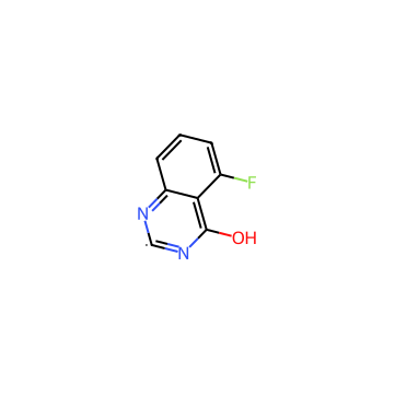 Oc1n[c]nc2cccc(F)c12